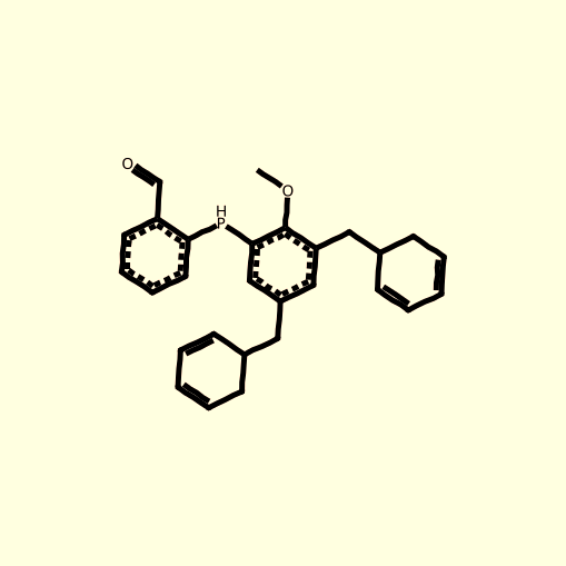 COc1c(CC2C=CC=CC2)cc(CC2C=CC=CC2)cc1Pc1ccccc1C=O